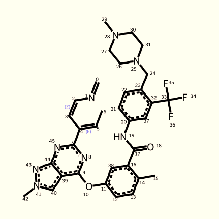 C=N/C=C\C(=C/C)c1nc(Oc2ccc(C)c(C(=O)Nc3ccc(CN4CCN(C)CC4)c(C(F)(F)F)c3)c2)c2cn(C)nc2n1